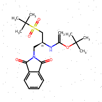 C=C(N[C@@H](CN1C(=O)c2ccccc2C1=O)CS(=O)(=O)C(C)(C)C)OC(C)(C)C